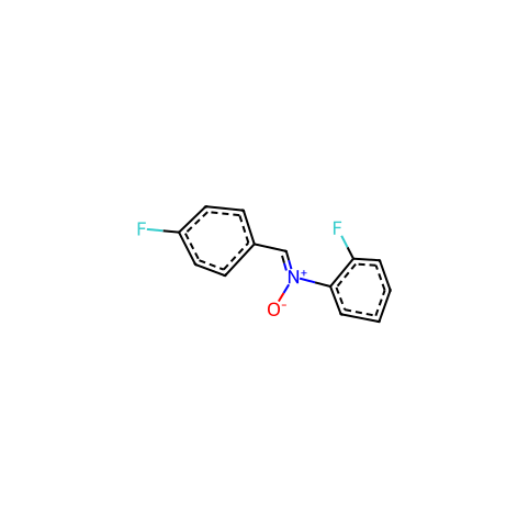 [O-][N+](=Cc1ccc(F)cc1)c1ccccc1F